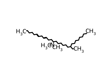 CCCCCC=CCC=CCCC(CCCCCCC(CC)CCCCCCCCC)N(C)C